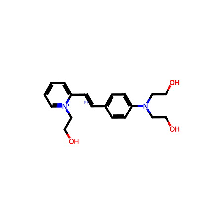 OCCN(CCO)c1ccc(/C=C/c2cccc[n+]2CCO)cc1